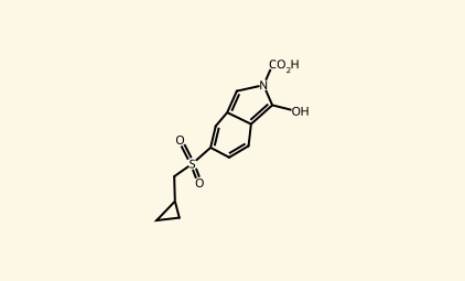 O=C(O)n1cc2cc(S(=O)(=O)CC3CC3)ccc2c1O